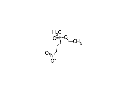 CCOP(C)(=O)CCC[N+](=O)[O-]